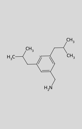 CC(C)Cc1[c]c(CC(C)C)cc(CN)c1